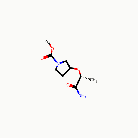 CC(C)OC(=O)N1CCC(O[C@H](C)C(N)=O)C1